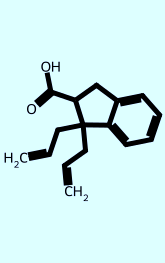 C=CCC1(CC=C)c2ccccc2CC1C(=O)O